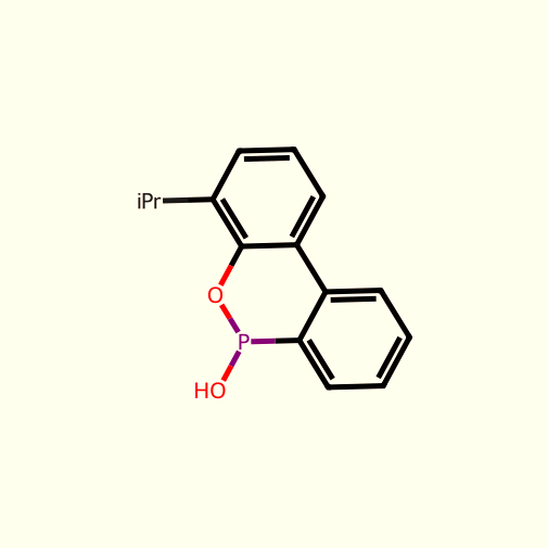 CC(C)c1cccc2c1OP(O)c1ccccc1-2